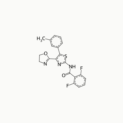 Cc1cccc(-c2sc(NC(=O)c3c(F)cccc3F)nc2C2=NCCO2)c1